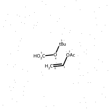 C=COC(C)=O.CC(C)(C)OC(=O)O